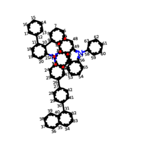 c1ccc(-c2ccccc2-c2c(-c3ccccc3)cccc2N(c2ccc(-c3ccc(-c4cccc5ccccc45)cc3)cc2)c2cccc3c2c2ccccc2n3-c2ccccc2)cc1